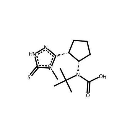 Cn1c([C@@H]2CCC[C@@H]2N(C(=O)O)C(C)(C)C)n[nH]c1=S